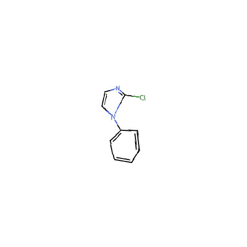 Clc1nccn1-c1ccccc1